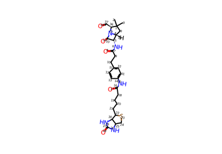 CC1(C)C[C@@H]2[C@H](NC(=O)CCc3ccc(NC(=O)CCCCC4SCC5NC(=O)NC54)cc3)C(=O)N2[C@H]1C=O